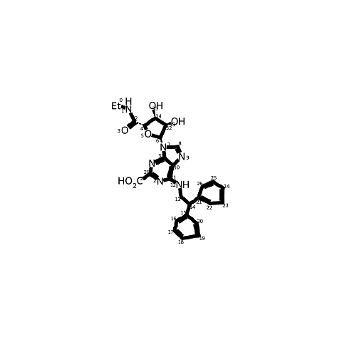 CCNC(=O)[C@H]1O[C@@H](n2cnc3c(NCC(c4ccccc4)c4ccccc4)nc(C(=O)O)nc32)[C@H](O)[C@@H]1O